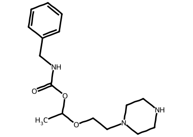 CC(OCCN1CCNCC1)OC(=O)NCc1ccccc1